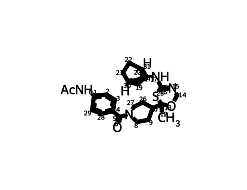 CC(=O)Nc1ccc(C(=O)N2CCC(C3(C)OCN=C(N[C@H]4C[C@@H]5CC[C@H]4C5)S3)CC2)cc1